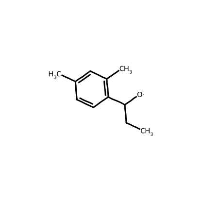 CCC([O])c1ccc(C)cc1C